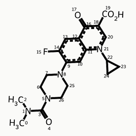 CN(C)C(=O)N1CCN(c2cc3c(cc2F)c(=O)c(C(=O)O)cn3C2CC2)CC1